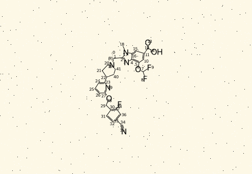 C[C@H](c1nc2c(OC(F)F)cc(C(=O)O)cc2n1C)N1CCC(c2cccc(OCc3ccc(C#N)cc3F)n2)CC1